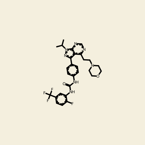 CC(C)n1nc(-c2ccc(NC(=O)Nc3cc(C(F)(F)F)ccc3F)cc2)c2c(CCN3CCOCC3)ncnc21